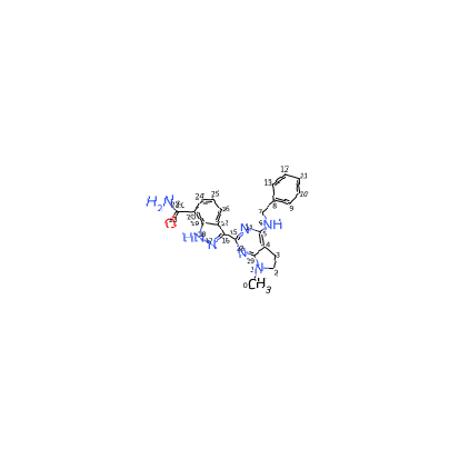 CN1CCc2c(NCc3ccccc3)nc(-c3n[nH]c4c(C(N)=O)cccc34)nc21